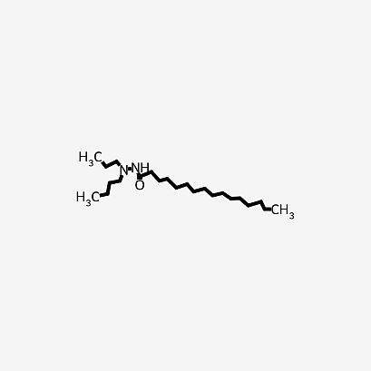 CCCCCCCCCCCCCCCC(=O)NN(CCC)CCCC